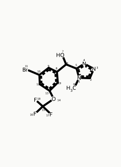 Cn1cnnc1C(O)c1cc(Br)cc(OC(F)(F)F)c1